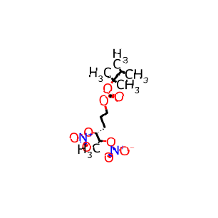 CC(C)C(C)(C)OC(=O)OCCC[C@@H](O[N+](=O)[O-])[C@@H](C)O[N+](=O)[O-]